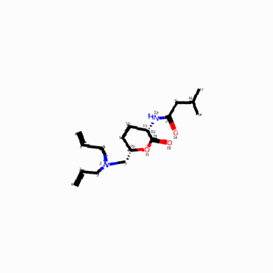 C=CCN(CC=C)C[C@@H]1CC[C@H](NC(=O)CC(C)C)C(=O)O1